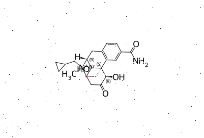 C[N+]1(CC2CC2)CC[C@@]23c4cc(C(N)=O)ccc4C[C@@H]1[C@]2(O)CCC(=O)[C@@H]3O